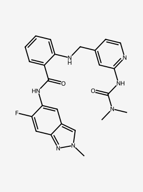 CN(C)C(=O)Nc1cc(CNc2ccccc2C(=O)Nc2cc3cn(C)nc3cc2F)ccn1